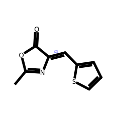 CC1=N/C(=C\c2cccs2)C(=O)O1